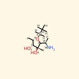 CC[C@@H](O)[C@@](C)(O)C(O[Si](C)(C)C(C)(C)C)[C@@H](C)N